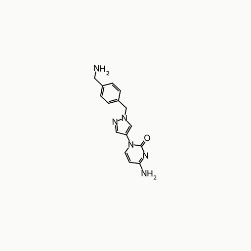 NCc1ccc(Cn2cc(-n3ccc(N)nc3=O)cn2)cc1